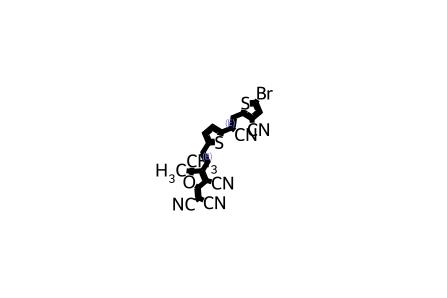 CC1(C)OC(=C(C#N)C#N)C(C#N)=C1/C=C/c1ccc(/C(C#N)=C/c2sc(Br)cc2C#N)s1